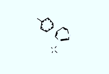 C1=CN=CNC=C1.Cc1ccccc1.F[B-](F)(F)F